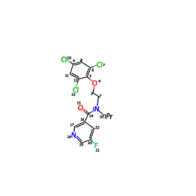 CCCN(CCOc1c(Cl)cc(Cl)cc1Cl)C(=O)c1cncc(F)c1